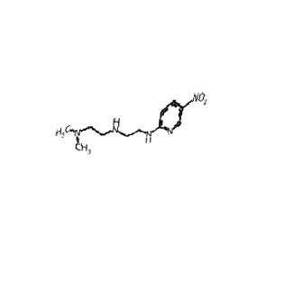 CN(C)CCNCCNc1ccc([N+](=O)[O-])cn1